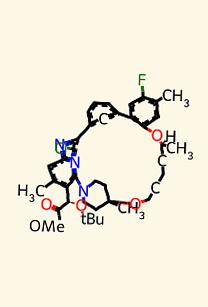 COC(=O)[C@@H](OC(C)(C)C)c1c(C)cc2nc3c(Cl)n2c1N1CCC(C)(CC1)OCCCC[C@H](C)Oc1cc(C)c(F)cc1-c1cccc-3c1